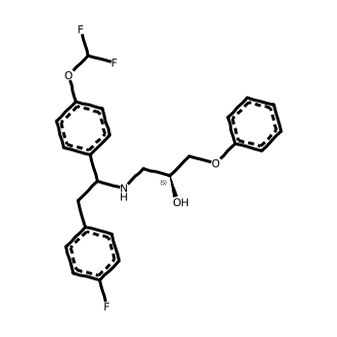 O[C@@H](CNC(Cc1ccc(F)cc1)c1ccc(OC(F)F)cc1)COc1ccccc1